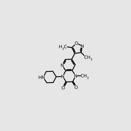 Cc1noc(C)c1-c1cnc2c(c1)n(C)c(=O)c(=O)n2C1CCNCC1